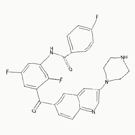 O=C(Nc1cc(F)cc(C(=O)c2ccc3ncc(N4CCNCC4)cc3c2)c1F)c1ccc(F)cc1